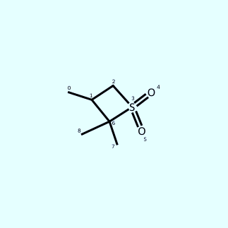 CC1CS(=O)(=O)C1(C)C